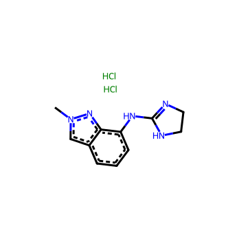 Cl.Cl.Cn1cc2cccc(NC3=NCCN3)c2n1